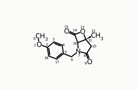 COc1ccc(CN2C(=O)C[C@@]3(C)OC(=O)C23)cc1